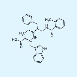 CCN(N[C@H](CC(=O)O)Cc1c[nH]c2ccccc12)C(CNC(=O)c1ccccc1C)Cc1ccccc1